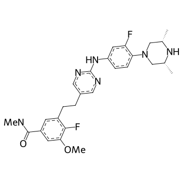 CNC(=O)c1cc(CCc2cnc(Nc3ccc(N4C[C@@H](C)N[C@@H](C)C4)c(F)c3)nc2)c(F)c(OC)c1